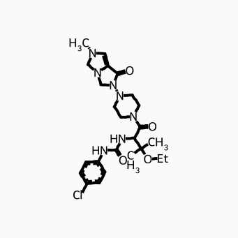 CCOC(C)(C)C(NC(=O)Nc1ccc(Cl)cc1)C(=O)N1CCN(N2CN3CN(C)C=C3C2=O)CC1